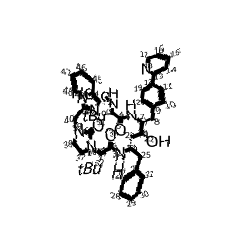 CC(C)(C)[C@H](NC(=O)O)C(=O)N[C@@H](Cc1ccc(-c2ccccn2)cc1)[C@H](O)C[C@H](Cc1ccccc1)NC(=O)[C@@H](N1CCN(Cc2ncc3ccccn23)C1=O)C(C)(C)C